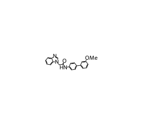 COc1cccc(-c2ccc(NC(=O)Cn3cnc4ccccc43)cc2)c1